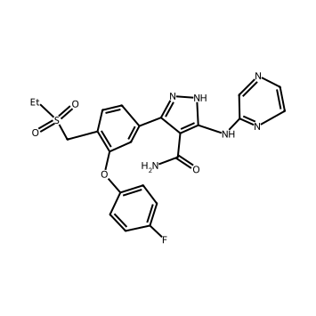 CCS(=O)(=O)Cc1ccc(-c2n[nH]c(Nc3cnccn3)c2C(N)=O)cc1Oc1ccc(F)cc1